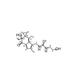 CC1=C(CNC(=O)NCCO)C2=C(C)C3(CC3)[C@@](C)(O)C(=O)C2=C1